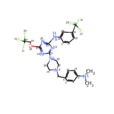 CN(C)c1ccc(CN2CCN(c3nc(Nc4cccc(C(F)(F)F)c4)nc(OCC(F)(F)F)n3)CC2)cc1